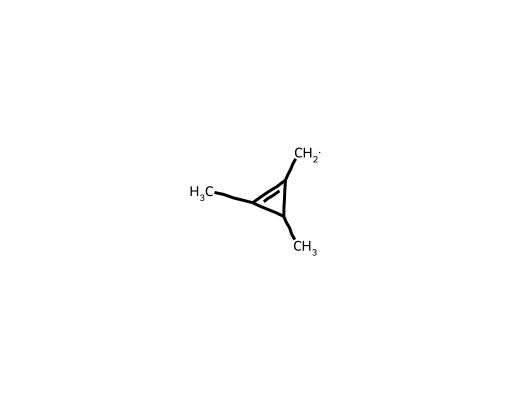 [CH2]C1=C(C)C1C